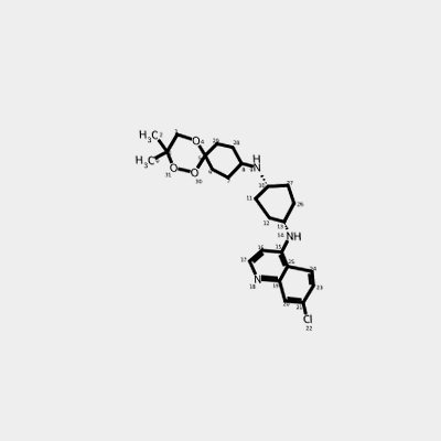 CC1(C)COC2(CCC(N[C@H]3CC[C@@H](Nc4ccnc5cc(Cl)ccc45)CC3)CC2)OO1